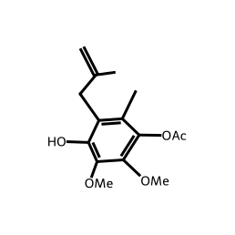 C=C(C)Cc1c(C)c(OC(C)=O)c(OC)c(OC)c1O